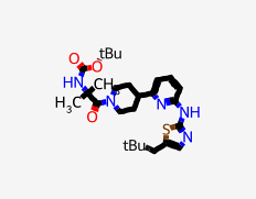 CC(C)(C)Cc1cnc(Nc2cccc(C3CCN(C(=O)C(C)(C)NC(=O)OC(C)(C)C)CC3)n2)s1